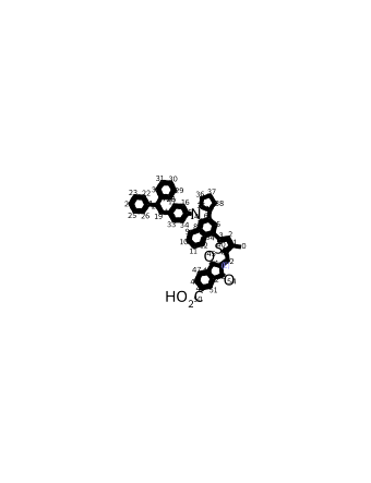 Cc1cc(-c2cc3c(c4ccccc24)N(c2ccc(C=C(c4ccccc4)c4ccccc4)cc2)C2CCCC32)sc1/C=C1\C(=O)c2ccc(C(=O)O)cc2C1=O